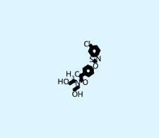 CC(C(=O)N(CCO)CCO)c1ccc(Oc2nc3ccc(Cl)cc3s2)cc1